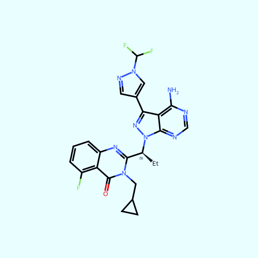 CC[C@@H](c1nc2cccc(F)c2c(=O)n1CC1CC1)n1nc(-c2cnn(C(F)F)c2)c2c(N)ncnc21